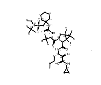 CCCC[C@H](NC(=O)[C@@H]1[C@@H]2[C@H](CN1C(=O)[C@@H](NC(=O)NC1(CS(=O)(=O)N(CC)C(C)(C)C)CCCCC1)C(C)(C)C)C2(C)C)C(=O)C(=O)NC1CC1